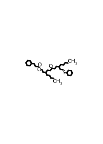 CCCCCC(CCOC(=O)CCC1CCCCC1)CCC(=O)CCC(CCCCC)CCSC1CCCCC1